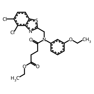 CCOC(=O)CCC(=O)N(Cc1nc2c(Cl)c(Cl)ccc2s1)c1cccc(OCC)c1